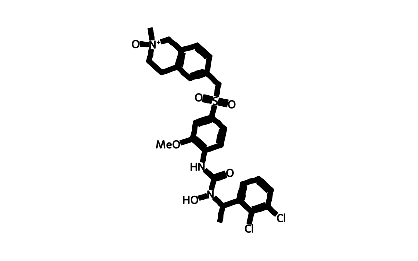 COc1cc(S(=O)(=O)Cc2ccc3c(c2)CC[N+](C)([O-])C3)ccc1NC(=O)N(O)C(C)c1cccc(Cl)c1Cl